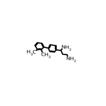 Cc1cccc(-c2ccc(C(N)CCN)cc2)c1C